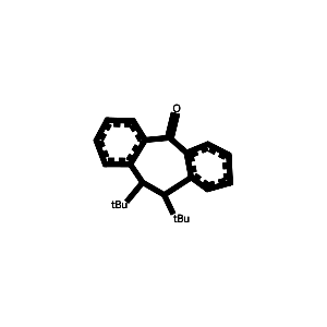 CC(C)(C)C1c2ccccc2C(=O)c2ccccc2C1C(C)(C)C